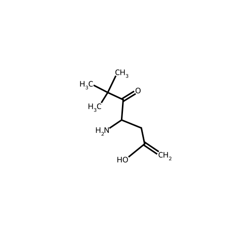 C=C(O)CC(N)C(=O)C(C)(C)C